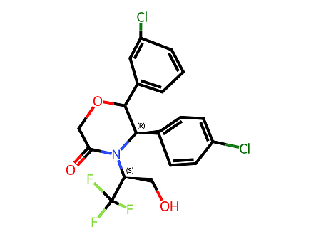 O=C1COC(c2cccc(Cl)c2)[C@@H](c2ccc(Cl)cc2)N1[C@@H](CO)C(F)(F)F